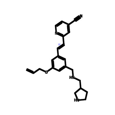 C=CCOc1cc(/C=C/c2cc(C#N)ccn2)cc(CNCC2CCNC2)c1